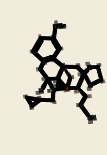 COc1ccc2c(c1)[C@]13CCN(CC4CC4)[C@H](C2)[C@]1(O)C[C@H](CCO)C1(C3)OCCO1